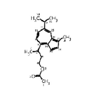 CC(=O)OCCC(C)c1ccc(C(C)C)cc2c(C)ccc1-2